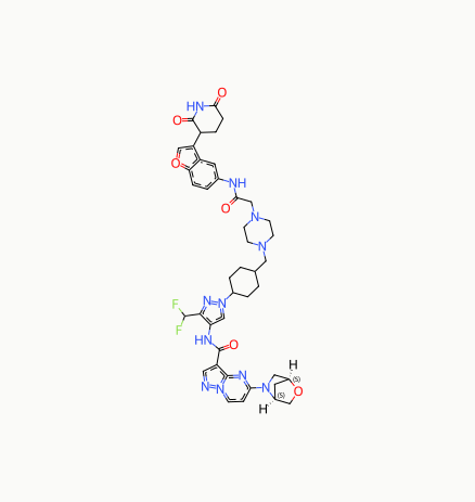 O=C1CCC(c2coc3ccc(NC(=O)CN4CCN(CC5CCC(n6cc(NC(=O)c7cnn8ccc(N9C[C@@H]%10C[C@H]9CO%10)nc78)c(C(F)F)n6)CC5)CC4)cc23)C(=O)N1